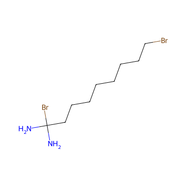 NC(N)(Br)CCCCCCCCBr